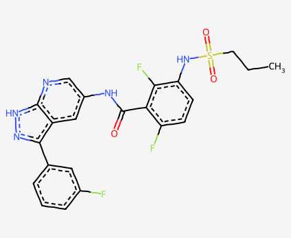 CCCS(=O)(=O)Nc1ccc(F)c(C(=O)Nc2cnc3[nH]nc(-c4cccc(F)c4)c3c2)c1F